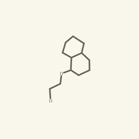 [O]CCOC1CCCC2CCCCC21